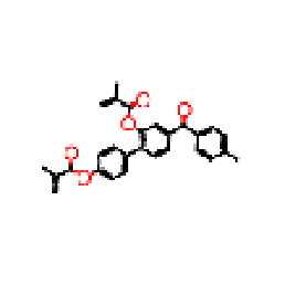 C=C(C)C(=O)Oc1ccc(-c2ccc(C(=O)c3ccc(C)cc3)cc2OC(=O)C(=C)C)cc1